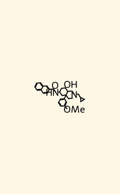 COc1cccc(C23CCN(CC4CC4)CC2C(O)CC(NC(=O)c2ccc4ccccc4c2)C3)c1